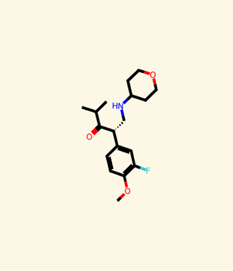 COc1ccc([C@@H](CNC2CCOCC2)C(=O)C(C)C)cc1F